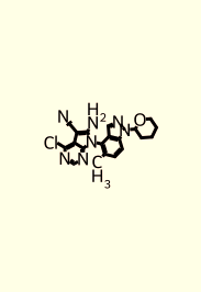 Cc1ccc2c(cnn2C2CCCCO2)c1-n1c(N)c(C#N)c2c(Cl)ncnc21